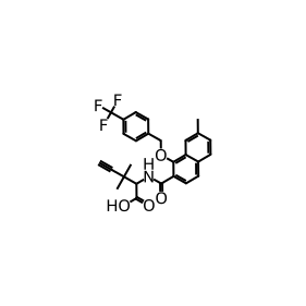 C#CC(C)(C)C(NC(=O)c1ccc2ccc(C)cc2c1OCc1ccc(C(F)(F)F)cc1)C(=O)O